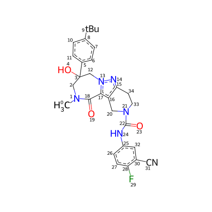 CN1CC(O)(c2ccc(C(C)(C)C)cc2)Cn2nc3c(c2C1=O)CN(C(=O)Nc1ccc(F)c(C#N)c1)CC3